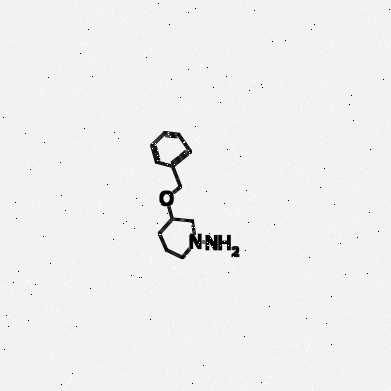 NN1CCCC(OCc2ccccc2)C1